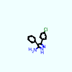 Nc1[nH]nc(-c2ccc(Cl)cc2)c1-c1ccccc1